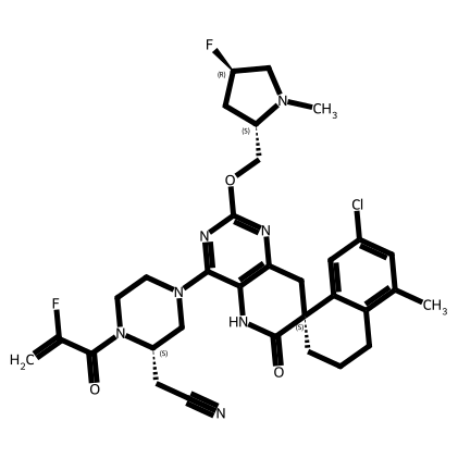 C=C(F)C(=O)N1CCN(c2nc(OC[C@@H]3C[C@@H](F)CN3C)nc3c2NC(=O)[C@@]2(CCCc4c(C)cc(Cl)cc42)C3)C[C@@H]1CC#N